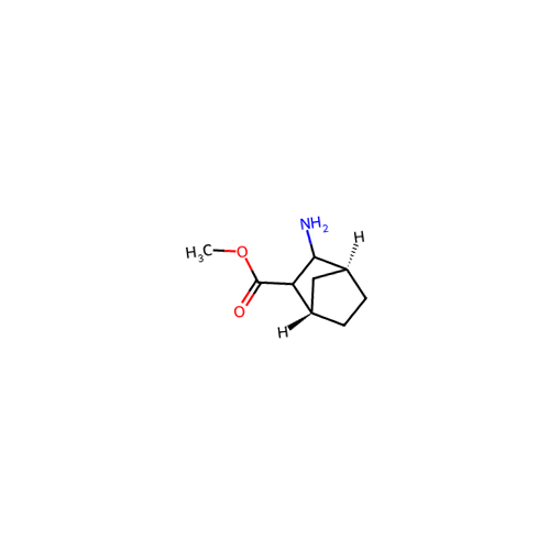 COC(=O)C1C(N)[C@H]2CC[C@H]1C2